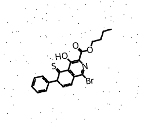 CCCCOC(=O)c1nc(Br)c2c(c1O)C(=S)C(c1ccccc1)C=C2